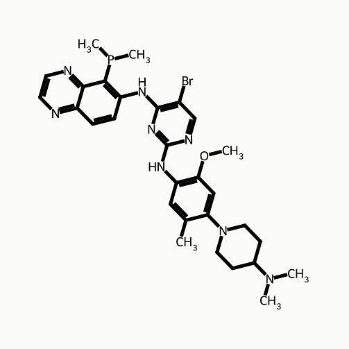 COc1cc(N2CCC(N(C)C)CC2)c(C)cc1Nc1ncc(Br)c(Nc2ccc3nccnc3c2P(C)C)n1